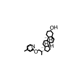 Cc1ccnc(OCC(C)[C@H]2CC[C@H]3[C@@H]4CC=C5C[C@@H](O)CC[C@]5(C)[C@H]4CC[C@]23C)c1